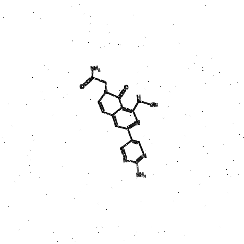 CC(C)(C)Nc1nc(-c2cnc(N)nc2)cc2ccn(CC(N)=O)c(=O)c12